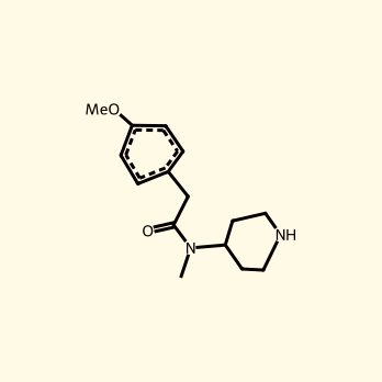 COc1ccc(CC(=O)N(C)C2CCNCC2)cc1